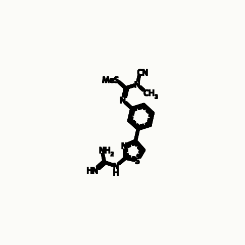 CSC(=Nc1cccc(-c2csc(NC(=N)N)n2)c1)N(C)C#N